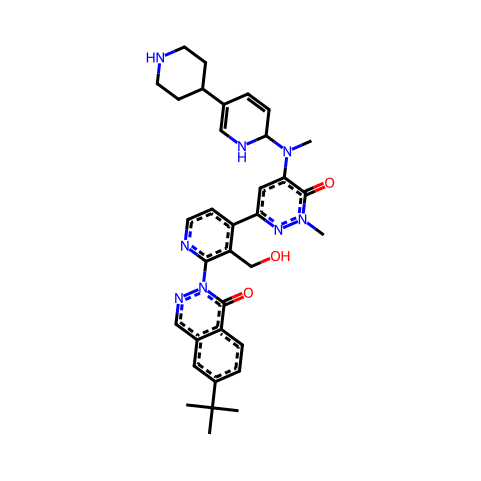 CN(c1cc(-c2ccnc(-n3ncc4cc(C(C)(C)C)ccc4c3=O)c2CO)nn(C)c1=O)C1C=CC(C2CCNCC2)=CN1